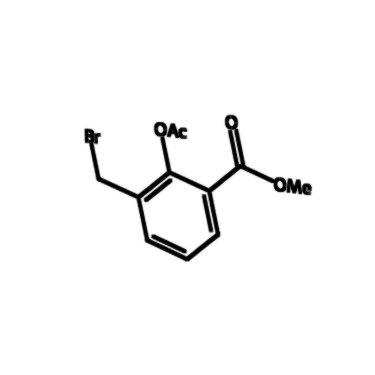 COC(=O)c1cccc(CBr)c1OC(C)=O